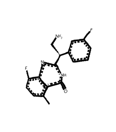 Cc1ccc(F)c2nc([C@@H](CN)c3cccc(F)c3)[nH]c(=O)c12